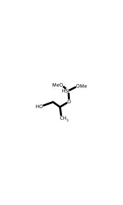 CO[SiH](OC)OC(C)CO